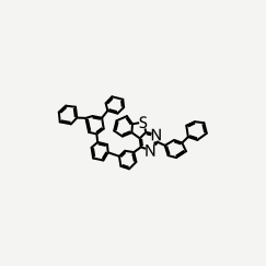 c1ccc(-c2cc(-c3ccccc3)cc(-c3cccc(-c4cccc(-c5nc(-c6cccc(-c7ccccc7)c6)nc6sc7ccccc7c56)c4)c3)c2)cc1